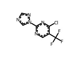 FC(F)(F)c1cnc(-n2cncn2)nc1Cl